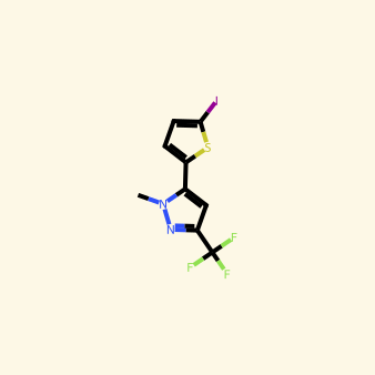 Cn1nc(C(F)(F)F)cc1-c1ccc(I)s1